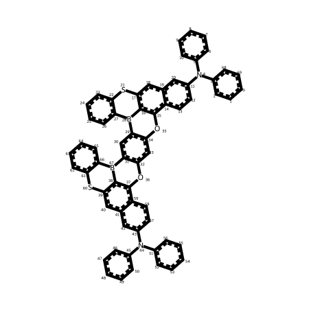 c1ccc(N(c2ccccc2)c2ccc3c4c5c(cc3c2)Sc2ccccc2B5c2cc3c(cc2O4)Oc2c4c(cc5cc(N(c6ccccc6)c6ccccc6)ccc25)Sc2ccccc2B34)cc1